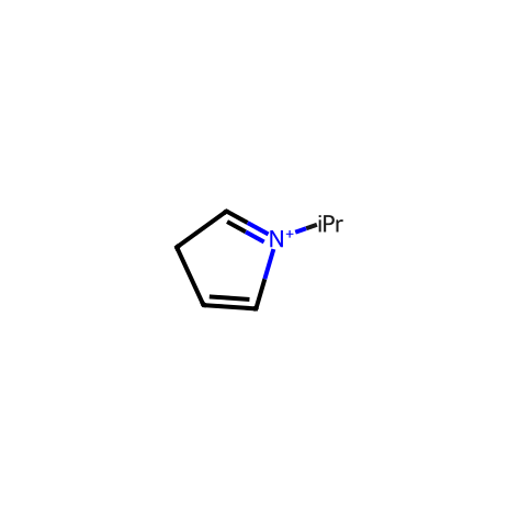 CC(C)[N+]1=CCC=C1